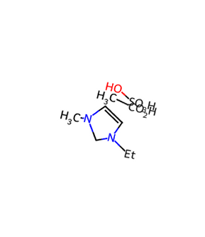 CC(=O)O.CCN1C=CN(C)C1.O=S(=O)(O)O